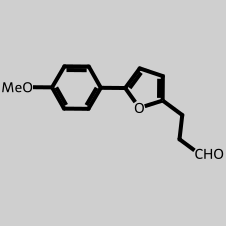 COc1ccc(-c2ccc(CCC=O)o2)cc1